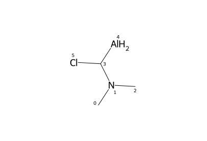 CN(C)[CH]([AlH2])Cl